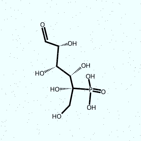 O=C[C@H](O)[C@@H](O)[C@H](O)[C@](O)(CO)P(=O)(O)O